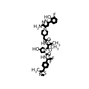 Cc1ncsc1-c1ccc(C(NC(=O)[C@@H]2C[C@@H](O)CN2C(=O)C(NC(=O)CC2CCN(c3cc(-c4cccc(F)c4O)nnc3N)CC2)C(C)(C)C)C(F)(F)F)cc1